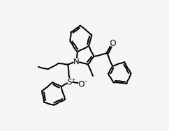 CCCC(n1c(C)c(C(=O)c2ccccc2)c2ccccc21)[S+]([O-])c1ccccc1